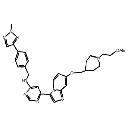 COCCN1CCC(COc2ccn3c(-c4cc(NCc5ccc(-c6cnn(C)n6)cc5)ncn4)cnc3c2)CC1